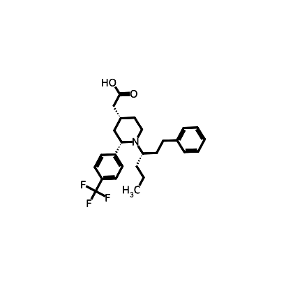 CCC[C@@H](CCc1ccccc1)N1CC[C@@H](CC(=O)O)C[C@H]1c1ccc(C(F)(F)F)cc1